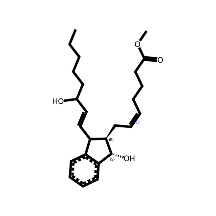 CCCCCC(O)C=CC1c2ccccc2[C@@H](O)[C@@H]1C/C=C\CCCC(=O)OC